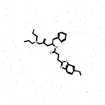 C=C(CC(Cc1ccccc1)NC(=O)CCc1nc2ccc(CC)cc2s1)CN(CCC)CCC